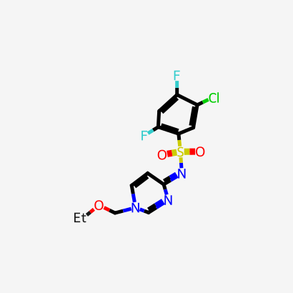 CCOCn1cc/c(=N\S(=O)(=O)c2cc(Cl)c(F)cc2F)nc1